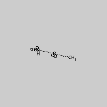 CCCCCCCCCCCC(=O)OC(=O)CCCCCCCCCCCNC(=O)OCc1ccccc1